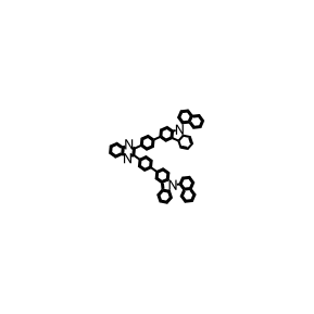 C1=CC2c3cc(-c4ccc(-c5nc6ccccc6nc5-c5ccc(-c6ccc7c(c6)c6ccccc6n7-c6cccc7ccccc67)cc5)cc4)ccc3N(c3cccc4ccccc34)C2C=C1